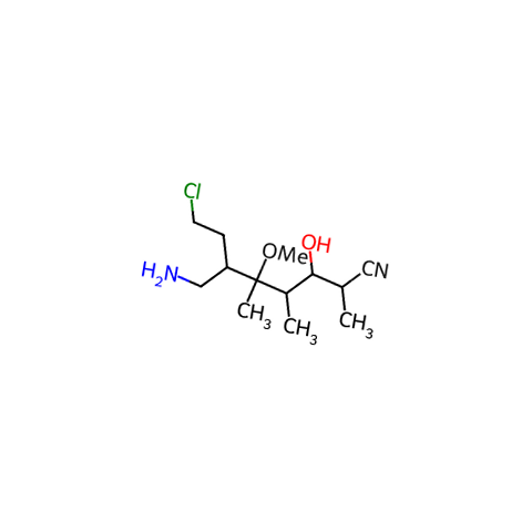 COC(C)(C(CN)CCCl)C(C)C(O)C(C)C#N